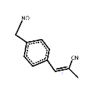 C/C(C#N)=C/c1ccc(CN=O)cc1